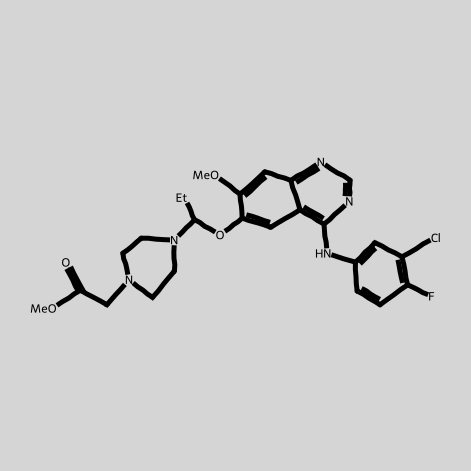 CCC(Oc1cc2c(Nc3ccc(F)c(Cl)c3)ncnc2cc1OC)N1CCN(CC(=O)OC)CC1